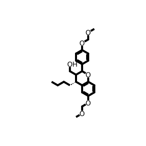 CCCC[C@H]1c2cc(OCOC)ccc2OC(c2ccc(OCOC)cc2)C1CO